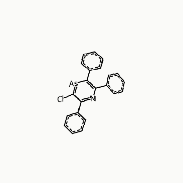 ClC1=[As]C(c2ccccc2)=C(c2ccccc2)N=C1c1ccccc1